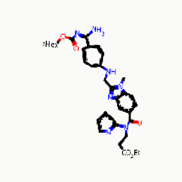 CCCCCCOC(=O)/N=C(/N)C1C=CC=C(NCc2nc3cc(C(=O)N(CCC(=O)OCC)c4ccccn4)ccc3n2C)C=C1